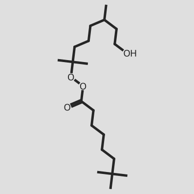 CC(CCO)CCCC(C)(C)OOC(=O)CCCCCC(C)(C)C